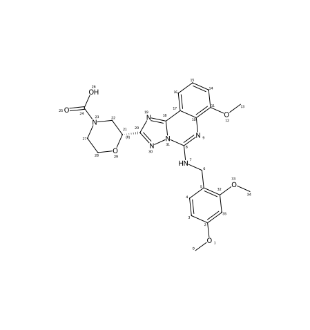 COc1ccc(CNc2nc3c(OC)cccc3c3nc([C@H]4CN(C(=O)O)CCO4)nn23)c(OC)c1